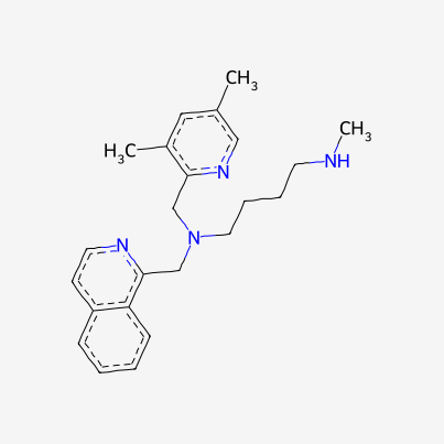 CNCCCCN(Cc1ncc(C)cc1C)Cc1nccc2ccccc12